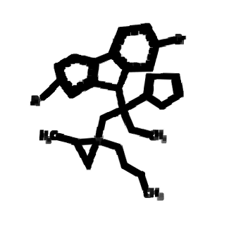 CCC[CH2][Ti]1([CH2]C(CC)(C2=CC=CC2)C2c3cc(Br)ccc3-c3ccc(Br)cc32)[CH2][CH]1C